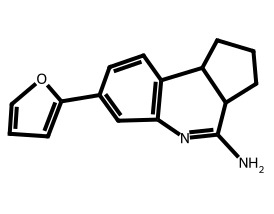 NC1=Nc2cc(-c3ccco3)ccc2C2CCCC12